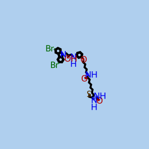 O=C(CCCCCC1SCC2NC(=O)NC21)NCCCCCOc1cccc(NCC(O)Cn2c3ccc(Br)cc3c3cc(Br)ccc32)c1